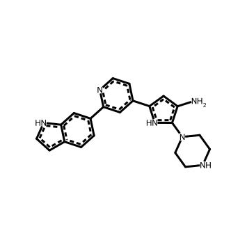 Nc1cc(-c2ccnc(-c3ccc4cc[nH]c4c3)c2)[nH]c1N1CCNCC1